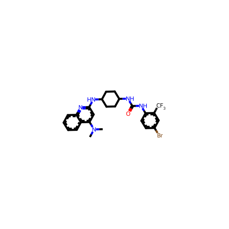 CN(C)c1cc(NC2CCC(NC(=O)Nc3ccc(Br)cc3C(F)(F)F)CC2)nc2ccccc12